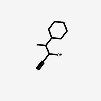 C#CC(O)C(C)C1CCCCC1